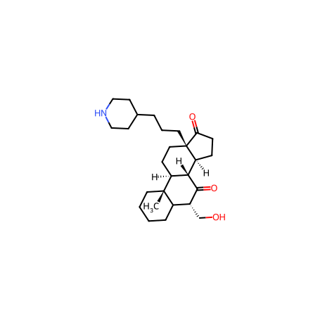 C[C@]12CCCCC1[C@@H](CO)C(=O)[C@H]1[C@@H]3CCC(=O)[C@@]3(CCCC3CCNCC3)CC[C@@H]12